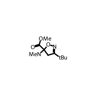 CNC1(C(=O)OC)CC(C(C)(C)C)=NO1